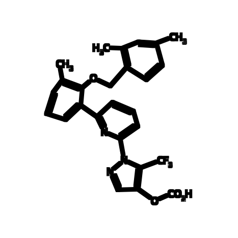 Cc1ccc(COc2c(C)cccc2-c2cccc(-n3ncc(OC(=O)O)c3C(F)(F)F)n2)c(C)c1